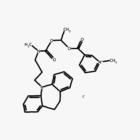 CC(OC(=O)c1ccc[n+](C)c1)OC(=O)N(C)CCCN1c2ccccc2CCc2ccccc21.[I-]